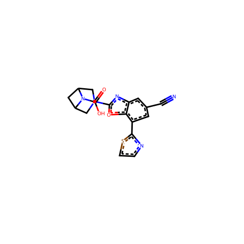 N#Cc1cc(-c2nccs2)c2oc(N3CC4CC(C3)N4C(=O)O)nc2c1